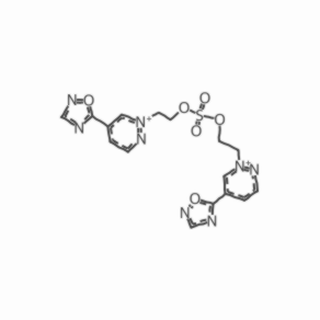 O=S(=O)(OCC[n+]1cc(-c2ncno2)ccn1)OCC[n+]1cc(-c2ncno2)ccn1